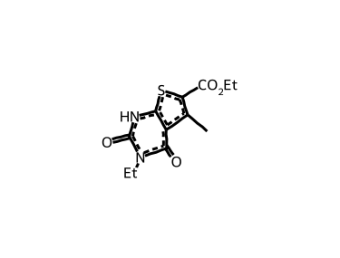 CCOC(=O)c1sc2[nH]c(=O)n(CC)c(=O)c2c1C